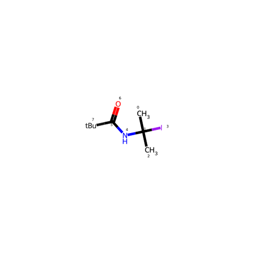 CC(C)(I)NC(=O)C(C)(C)C